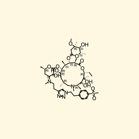 CC[C@H]1OC(=O)[C@H](C)[C@@H](O[C@H]2C[C@@](C)(OC)[C@@H](O)[C@H](C)O2)[C@H](C)[C@@H](O[C@@H]2O[C@H](C)C[C@H](N(C)CCc3cn(CCc4ccc(S(C)(=O)=O)cc4)nn3)[C@H]2O)[C@](C)(O)C[C@@H](C)CN(C)[C@H](C)[C@@H](O)[C@]1(C)O